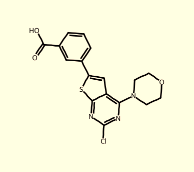 O=C(O)c1cccc(-c2cc3c(N4CCOCC4)nc(Cl)nc3s2)c1